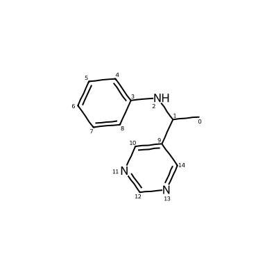 CC(Nc1ccccc1)c1cncnc1